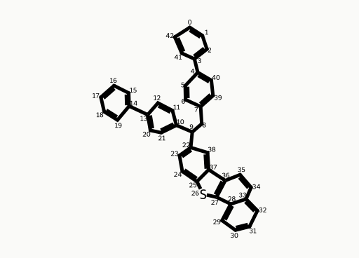 c1ccc(-c2ccc(CC(c3ccc(-c4ccccc4)cc3)c3ccc4sc5c6ccccc6ccc5c4c3)cc2)cc1